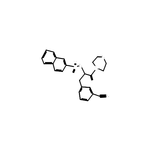 N#Cc1cccc(CC(NS(=O)(=O)c2ccc3ccccc3c2)C(=O)N2CCNCC2)c1